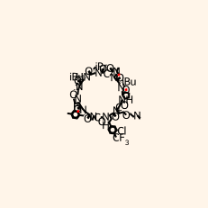 CC[C@H](C)[C@@H]1NC(=O)[C@H](CC(C)C)N(C)C(=O)C[C@@H](C(=O)N(C)C)N(C)C(=O)[C@H]([C@@H](C)CC)N(C)C(=O)C2(CCCC2)NC(=O)CN(CCOCCN(C)C)C(=O)C(CCc2ccc(C(F)(F)F)c(Cl)c2)NC(=O)CN(C)C(=O)[C@H](Cc2ccc(C)cc2)N(C)C(=O)[C@@H]2CCN2C(=O)[C@H](C)N(C)C1=O